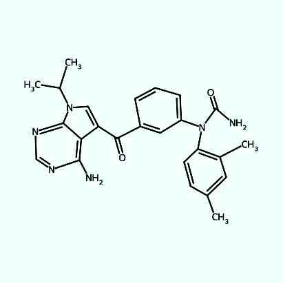 Cc1ccc(N(C(N)=O)c2cccc(C(=O)c3cn(C(C)C)c4ncnc(N)c34)c2)c(C)c1